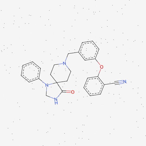 N#Cc1ccccc1Oc1cccc(CN2CCC3(CC2)C(=O)NCN3c2ccccc2)c1